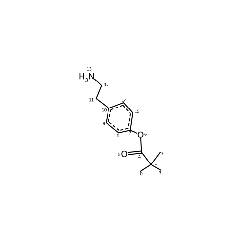 CC(C)(C)C(=O)Oc1ccc(CCN)cc1